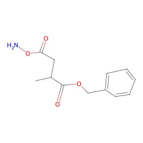 CC(CC(=O)ON)C(=O)OCc1ccccc1